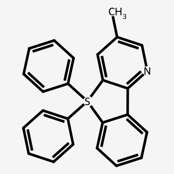 Cc1cnc2c(c1)S(c1ccccc1)(c1ccccc1)c1ccccc1-2